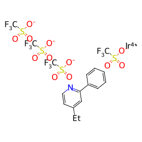 CCc1ccnc(-c2ccccc2)c1.O=S(=O)([O-])C(F)(F)F.O=S(=O)([O-])C(F)(F)F.O=S(=O)([O-])C(F)(F)F.O=S(=O)([O-])C(F)(F)F.[Ir+4]